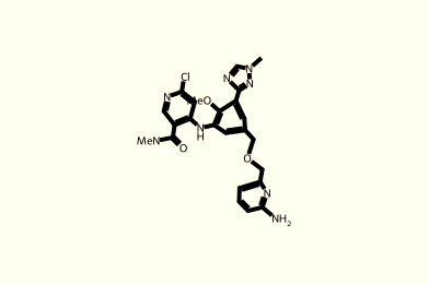 CNC(=O)c1cnc(Cl)cc1Nc1cc(COCc2cccc(N)n2)cc(-c2ncn(C)n2)c1OC